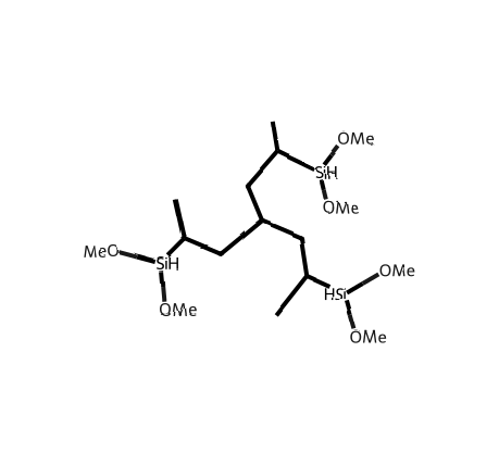 CO[SiH](OC)C(C)CC(CC(C)[SiH](OC)OC)CC(C)[SiH](OC)OC